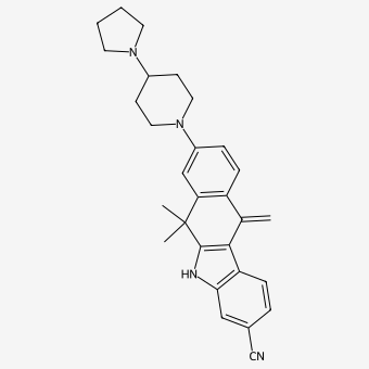 C=C1c2ccc(N3CCC(N4CCCC4)CC3)cc2C(C)(C)c2[nH]c3cc(C#N)ccc3c21